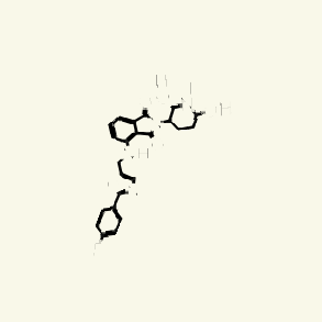 O=C1c2cccc(NCc3cnc(-c4ccc(F)cc4)o3)c2C(=O)N1C1CCC(O)NC1O